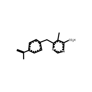 C=C(C)c1ccc(Cc2ncnc(C(=O)O)c2C)cc1